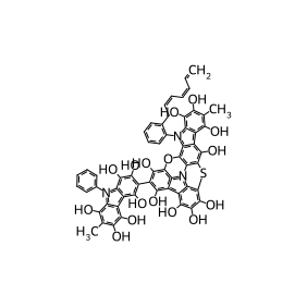 C=C/C=C\C=C/Cc1ccccc1-n1c2c(O)c(O)c(C)c(O)c2c2c(O)c3c4c(c21)Oc1c(O)c(-c2c(O)c(O)c5c(c2O)c2c(O)c(O)c(C)c(O)c2n5-c2ccccc2)c(O)c2c5c(O)c(O)c(O)c(c5n-4c12)S3